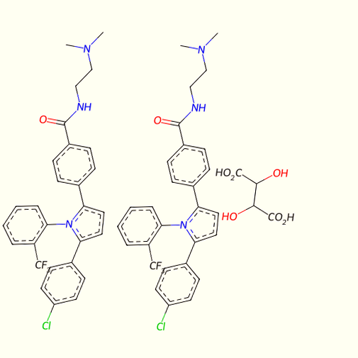 CN(C)CCNC(=O)c1ccc(-c2ccc(-c3ccc(Cl)cc3)n2-c2ccccc2C(F)(F)F)cc1.CN(C)CCNC(=O)c1ccc(-c2ccc(-c3ccc(Cl)cc3)n2-c2ccccc2C(F)(F)F)cc1.O=C(O)C(O)C(O)C(=O)O